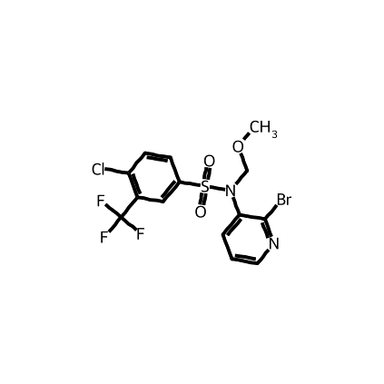 COCN(c1cccnc1Br)S(=O)(=O)c1ccc(Cl)c(C(F)(F)F)c1